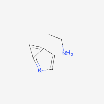 CCN.c1cc2cc-2n1